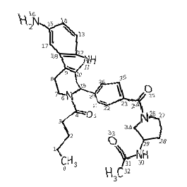 CCCCC(=O)N1CCc2c([nH]c3ccc(N)cc23)C1c1ccc(C(=O)N2CCC(NC(C)=O)C2)cc1